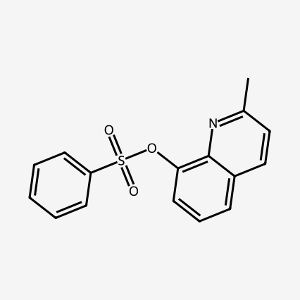 Cc1ccc2cccc(OS(=O)(=O)c3ccccc3)c2n1